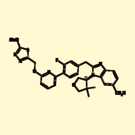 COc1nnc(COc2cccc(-c3ccc(Cc4nc5ccc(C(=O)O)cc5n4[C@@H]4COCC4(C)C)cc3F)n2)s1